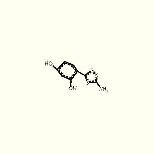 Nc1nnc(-c2ccc(O)cc2O)s1